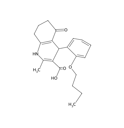 CCCCOc1ccccc1C1C(C(=O)O)=C(C)NC2=C1C(=O)CCC2